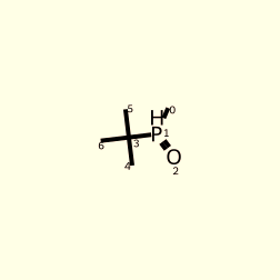 C[PH](=O)C(C)(C)C